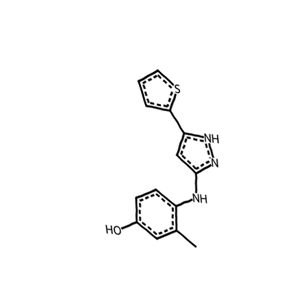 Cc1cc(O)ccc1Nc1cc(-c2cccs2)[nH]n1